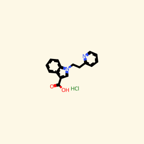 Cl.O=C(O)c1cn(CCc2ccccn2)c2ccccc12